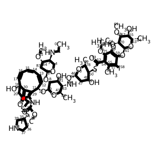 CCN[C@H]1CO[C@@H](O[C@H]2[C@H](O[C@H]3C#CC=CC#C[C@]4(O)CC(=O)C(NC(=O)OC)=C3/C4=C\CSS[C@@H]3CCNC3)O[C@H](C)[C@@H](NO[C@H]3C[C@H](O)[C@H](SC(=O)c4c(C)c(I)c(O[C@@H]5O[C@@H](C)[C@H](O)[C@@H](OC)[C@H]5O)c(OC)c4OC)[C@@H](C)O3)[C@@H]2O)C[C@@H]1OC